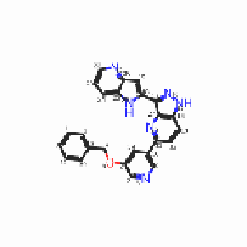 c1ccc(COc2cncc(-c3ccc4[nH]nc(-c5cc6ncccc6[nH]5)c4n3)c2)cc1